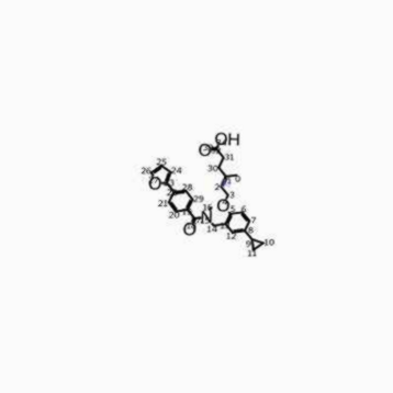 C/C(=C\COc1ccc(C2CC2)cc1CN(C)C(=O)c1ccc(-c2ccco2)cc1)CCC(=O)O